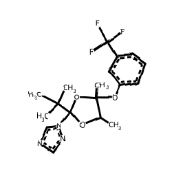 CC1OC(n2cncn2)(C(C)(C)C)OC1(C)Oc1cccc(C(F)(F)F)c1